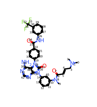 CN(C)CC=CC(=O)N(C)c1cccc(-n2c(=O)n(-c3ccc(C(=O)Nc4cccc(C(F)(F)F)c4)cc3)c3c(N)ncnc32)c1